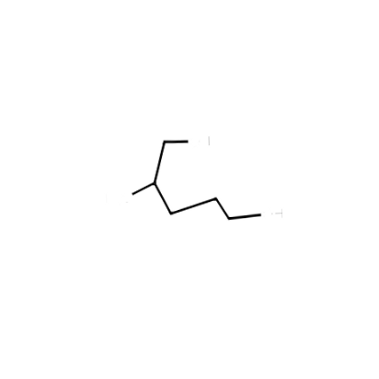 CC([CH]O)CCCO